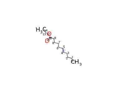 CCCC/C=C/CCCCC(=O)OCC